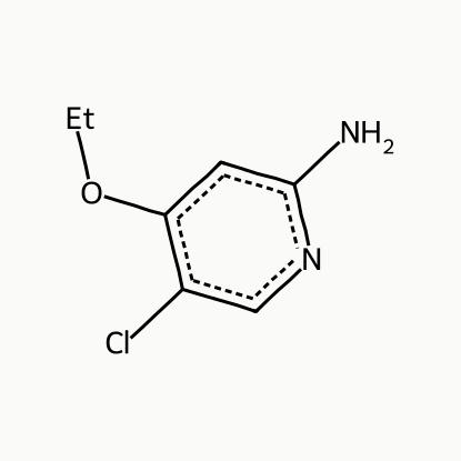 CCOc1cc(N)ncc1Cl